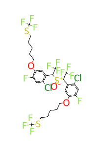 [O-][S+](C(c1cc(OCCCCCSC(F)(F)F)c(F)cc1Cl)C(F)(F)F)C(c1cc(OCCCCCSC(F)(F)F)c(F)cc1Cl)C(F)(F)F